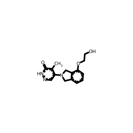 Cc1c(N2Cc3cccc(OCCO)c3C2)cn[nH]c1=O